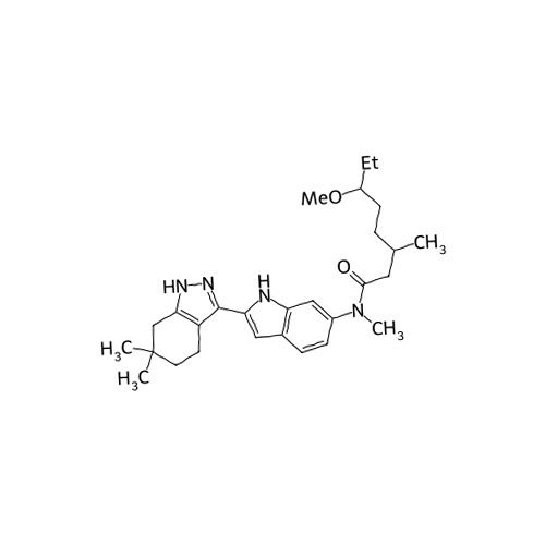 CCC(CCC(C)CC(=O)N(C)c1ccc2cc(-c3n[nH]c4c3CCC(C)(C)C4)[nH]c2c1)OC